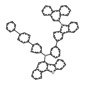 c1ccc(-c2ccc(-c3ccc(N(c4cccc(-c5ccc6c(c5)c5ccccc5n6-c5cc6ccccc6c6ccccc56)c4)c4cc5ccccc5c5oc6ccccc6c45)cc3)cc2)cc1